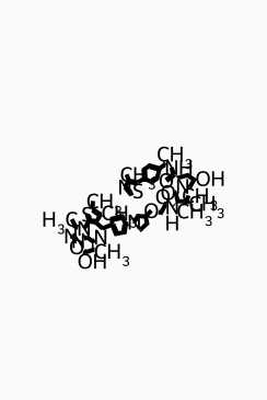 Cc1ncsc1-c1ccc([C@H](C)NC(=O)[C@@H]2C[C@@H](O)CN2C(=O)[C@@H](NC(=O)COC2CCN(c3ccc(C4=N[C@@H](C(C)C(=O)O)c5nnc(C)n5-c5sc(C)c(C)c54)cc3)C2)C(C)(C)C)cc1